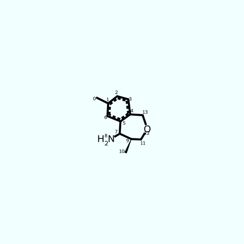 Cc1ccc2c(c1)C(N)[C@H](C)COC2